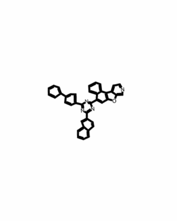 c1ccc(-c2ccc(-c3nc(-c4ccc5ccccc5c4)nc(-c4cc5oc6cnccc6c5c5ccccc45)n3)cc2)cc1